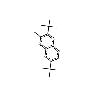 Cc1nc2cc(C(C)(C)C)ccc2nc1C(C)(C)I